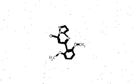 COc1cccc(OC)c1-c1cc(Cl)n2nccc2n1